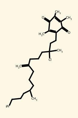 C=C(CCCC(C)CCCC(C)C)CCCC(C)(Cl)CCC1=C(C)C(=O)C(C)=C(C)C1=O